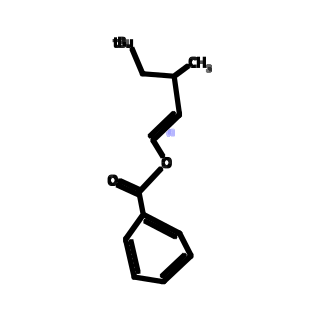 CC(/C=C/OC(=O)c1ccccc1)CC(C)(C)C